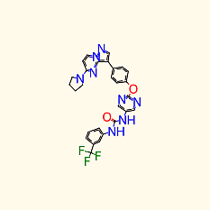 O=C(Nc1cnc(Oc2ccc(-c3cnn4ccc(N5CCCC5)nc34)cc2)nc1)Nc1cccc(C(F)(F)F)c1